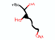 CCCCC(O)C(O)CCCO